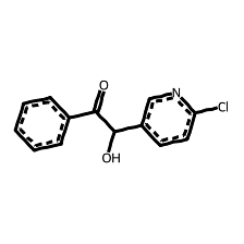 O=C(c1ccccc1)C(O)c1ccc(Cl)nc1